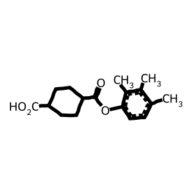 Cc1ccc(OC(=O)C2CCC(C(=O)O)CC2)c(C)c1C